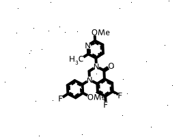 COc1ccc(N2CN(c3ccc(F)cc3OC)c3cc(F)c(F)cc3C2=O)c(C)n1